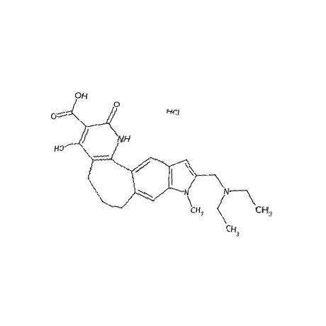 CCN(CC)Cc1cc2cc3c(cc2n1C)CCCc1c-3[nH]c(=O)c(C(=O)O)c1O.Cl